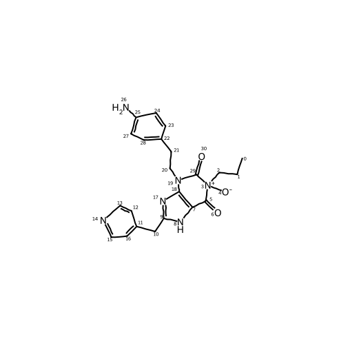 CCC[N+]1([O-])C(=O)c2[nH]c(Cc3ccncc3)nc2N(CCc2ccc(N)cc2)C1=O